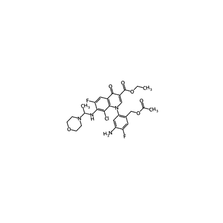 CCOC(=O)c1cn(-c2cc(N)c(F)cc2COC(C)=O)c2c(Cl)c(NC(C)N3CCOCC3)c(F)cc2c1=O